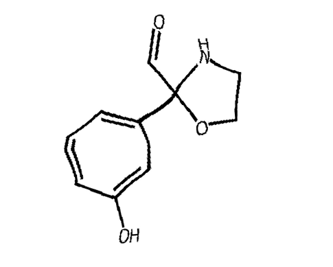 O=CC1(c2cccc(O)c2)NCCO1